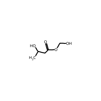 CC(O)CC(=O)OCO